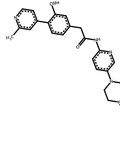 COc1cc(CC(=O)Nc2ccc(N3CCN(C(C)=O)CC3)cn2)ccc1-c1ccnc(C)c1